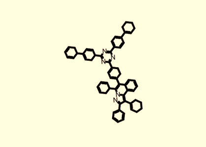 C1=CCC(C2=CCC(c3nc(C4=CC=C(c5c(C6C=CC=CC6)n6nc(-c7ccccc7)c(C7=CCCCC7)c6c6ccccc56)CC4)nc(-c4ccc(C5=CCCCC5)cc4)n3)C=C2)C=C1